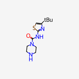 CC(C)(C)c1csc(NC(=O)N2CCNCC2)n1